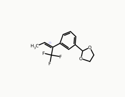 C/C=C(/c1cccc(C2OCCO2)c1)C(F)(F)F